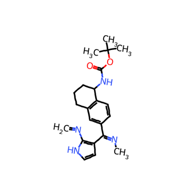 C=Nc1[nH]ccc1/C(=N\C)c1ccc2c(c1)CCCC2NC(=O)OC(C)(C)C